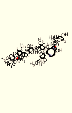 CCN[C@H]1CO[C@@H](O[C@H]2[C@H](O[C@H]3C#C/C=C/C#C[C@]4(O)CC(=O)C(NC(=O)OC)=C3/C4=C\CSSC(C)(C)CC(=O)O)O[C@H](C)[C@@H](NO[C@H]3C[C@H](O)[C@H](SC(=O)c4c(C)c(I)c(O[C@@H]5O[C@@H](C)[C@H](O)[C@@H](OC)[C@H]5O)c(OC)c4OC)[C@@H](C)O3)[C@@H]2O)C[C@@H]1OC